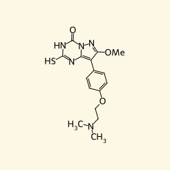 COc1nn2c(=O)[nH]c(S)nc2c1-c1ccc(OCCN(C)C)cc1